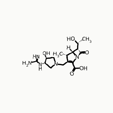 C[C@@H](O)[C@@H]1C(=O)N2C(C(=O)O)=C(CN3C[C@H](NC(=N)N)[C@@H](O)C3)[C@H](C)[C@H]12